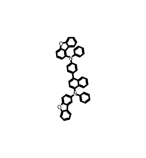 c1ccc(N(c2ccc3oc4ccccc4c3c2)c2ccc(-c3ccc(N(c4ccccc4)c4cccc5oc6ccccc6c45)cc3)c3ccccc23)cc1